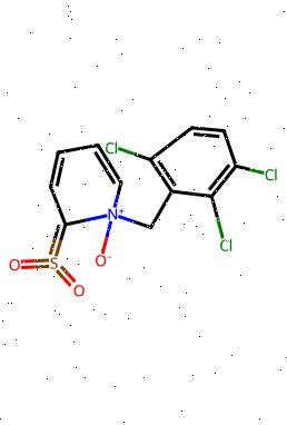 O=S(=O)=C1C=CC=C[N+]1([O-])Cc1c(Cl)ccc(Cl)c1Cl